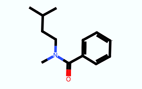 CC(C)CCN(C)C(=O)c1cc[c]cc1